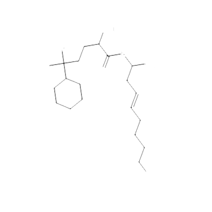 CCOC(=O)CCCCC=CCC(NC(=O)C(CCC(C)(O)C1CCCCC1)C(=O)OCC)C(=O)OCC